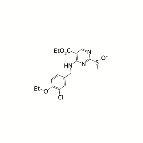 CCOC(=O)c1cnc([S+](C)[O-])nc1NCc1ccc(OCC)c(Cl)c1